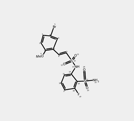 COc1ccc(Br)cc1C=CS(=O)(=O)Nc1cccc(F)c1S(N)(=O)=O